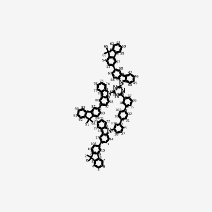 CC1(C)c2ccccc2-c2cc(-c3ccc4c(c3)c3ccccc3n4-c3cccc(-c4ccc(-c5cccc(-c6nc(-n7c8ccccc8c8cc(-c9ccc%10c(c9)-c9ccccc9C%10(C)C)ccc87)nc(-n7c8ccccc8c8cc(-c9ccc%10c(c9)-c9ccccc9C%10(C)C)ccc87)n6)c5)cc4)c3)ccc21